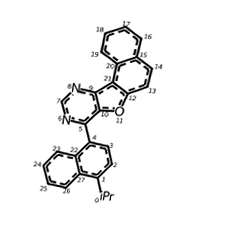 CC(C)c1ccc(-c2ncnc3c2oc2ccc4ccccc4c23)c2ccccc12